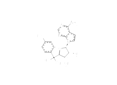 CC(O)(c1ccc(C(F)(F)F)cc1)C1O[C@@H](n2ccc3c(N)ncnc32)[C@H](O)[C@@H]1O